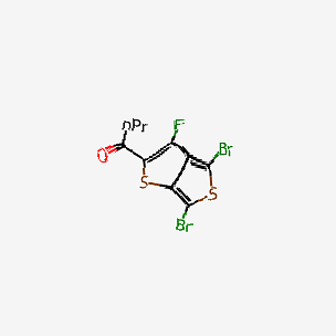 CCCC(=O)c1sc2c(Br)sc(Br)c2c1F